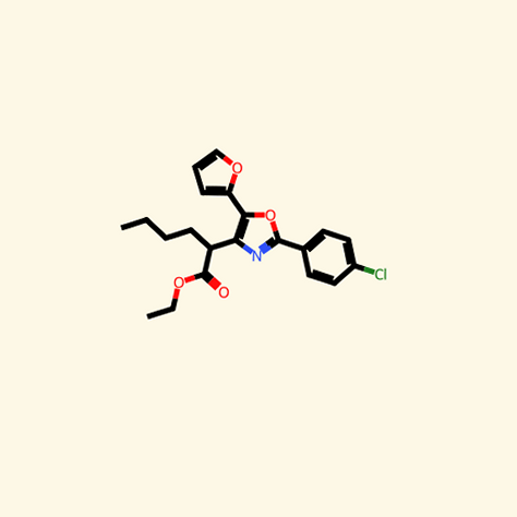 CCCCC(C(=O)OCC)c1nc(-c2ccc(Cl)cc2)oc1-c1ccco1